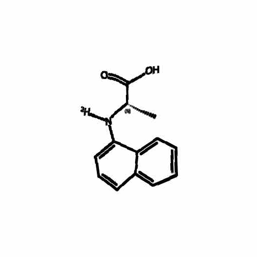 [2H]N(c1cccc2ccccc12)[C@@H](C)C(=O)O